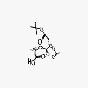 CC(=O)O[C@@H](CC(=O)OC(C)(C)C)C(=O)O[C@@H](C)C(=O)O